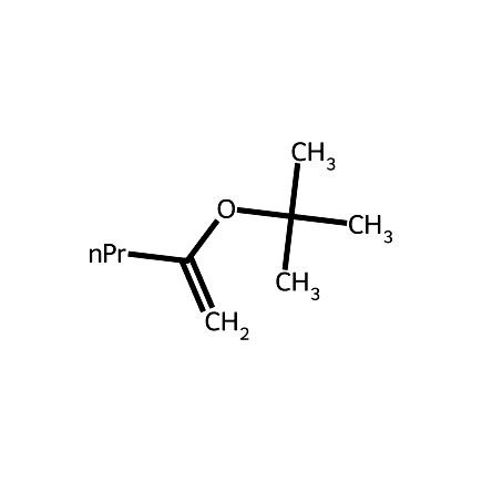 C=C(CCC)OC(C)(C)C